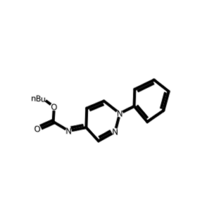 CCCCOC(=O)N=c1ccn(-c2ccccc2)nc1